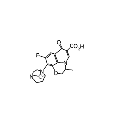 CC1COc2c(N3CCN4CCC3CC4)c(F)cc3c(=O)c(C(=O)O)cn1c23